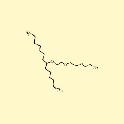 CCCCCCCC(CCCCCC)OCCOCCOCCO